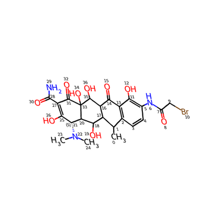 CC1c2ccc(NC(=O)CBr)c(O)c2C(=O)C2C1C(O)C1[C@H](N(C)C)C(O)=C(C(N)=O)C(=O)C1(O)C2O